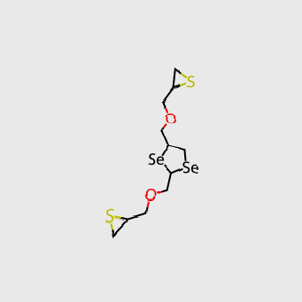 C(OCC1C[Se]C(COCC2CS2)[Se]1)C1CS1